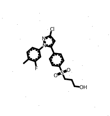 Cc1ccc(-n2nc(Cl)cc2-c2ccc(S(=O)(=O)CCCO)cc2)cc1F